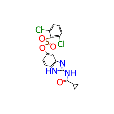 O=C(Nc1nc2cc(OS(=O)(=O)c3c(Cl)cccc3Cl)ccc2[nH]1)C1CC1